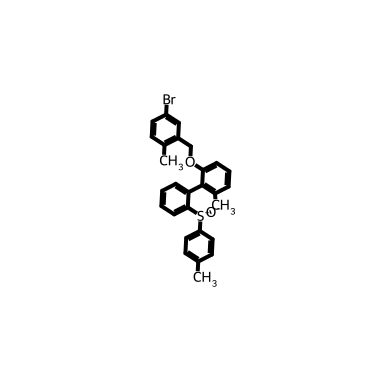 Cc1ccc([S+]([O-])c2ccccc2-c2c(C)cccc2OCc2cc(Br)ccc2C)cc1